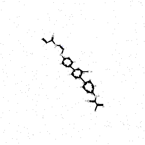 C=CC(=O)O/C=C\Oc1ccc(-c2ccc(-c3ccc(OC(=O)C(=C)C)cc3)c(F)c2)cc1